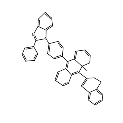 CC12CC=CC=C1C(c1ccc(-n3c(-c4ccccc4)nc4ccccc43)cc1)=c1ccccc1=C2C1=Cc2ccccc2CC1